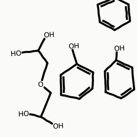 OC(O)COCC(O)O.Oc1ccccc1.Oc1ccccc1.c1ccccc1